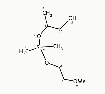 COCCO[Si](C)(C)OC(C)CO